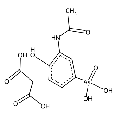 CC(=O)Nc1cc([As](=O)(O)O)ccc1O.O=C(O)CC(=O)O